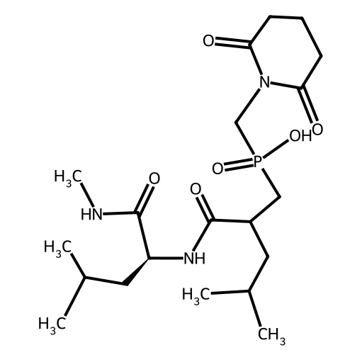 CNC(=O)[C@H](CC(C)C)NC(=O)C(CC(C)C)CP(=O)(O)CN1C(=O)CCCC1=O